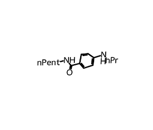 CCCCCNC(=O)c1ccc(NCCC)cc1